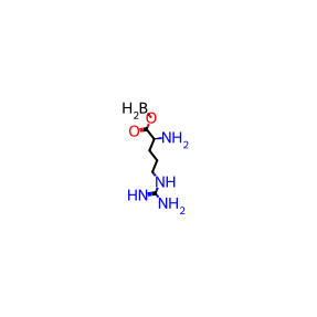 BOC(=O)[C@@H](N)CCCNC(=N)N